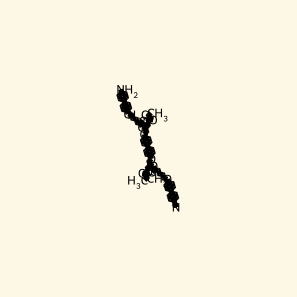 C=C(C)C(=O)OCC(COc1ccc(-c2ccc(OCC(COC(=O)C(=C)C)OC(=O)CCCCOc3ccc(-c4ccc(C#N)cc4)cc3)cc2)cc1)OC(=O)CCCCOc1ccc(-c2ccc(N)cc2)cc1